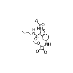 CCCCN[S+]([O-])c1c(NC(=O)C2CC2)sc2c1CC(Nc1c(OCC)c(=O)c1=O)CC2